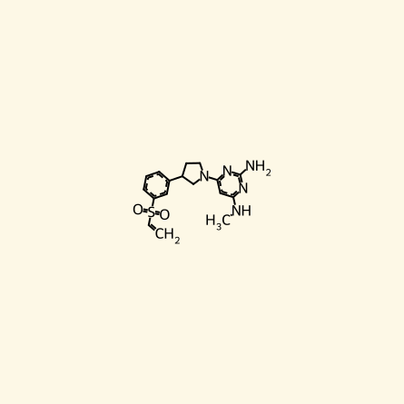 C=CS(=O)(=O)c1cccc(C2CCN(c3cc(NC)nc(N)n3)C2)c1